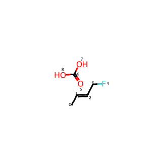 CC=CCF.O=C(O)O